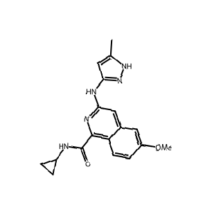 COc1ccc2c(C(=O)NC3CC3)nc(Nc3cc(C)[nH]n3)cc2c1